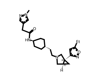 CCc1cc([C@]23C[C@H]2CN(CC[C@H]2CC[C@H](NC(=O)Cc4cnn(C)c4)CC2)C3)no1